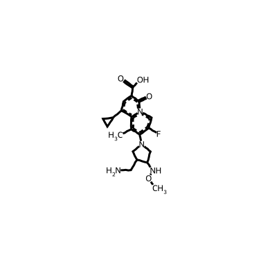 CONC1CN(c2c(F)cn3c(=O)c(C(=O)O)cc(C4CC4)c3c2C)CC1CN